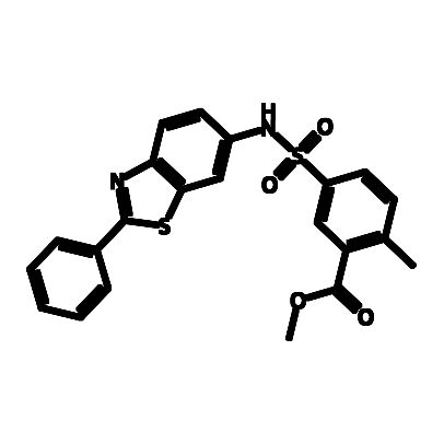 COC(=O)c1cc(S(=O)(=O)Nc2ccc3nc(-c4ccccc4)sc3c2)ccc1C